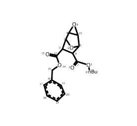 CCCCOC(=O)C1C2OC(C3OC32)C1C(=O)OCc1ccccc1